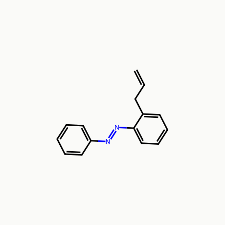 C=CCc1ccccc1N=Nc1ccccc1